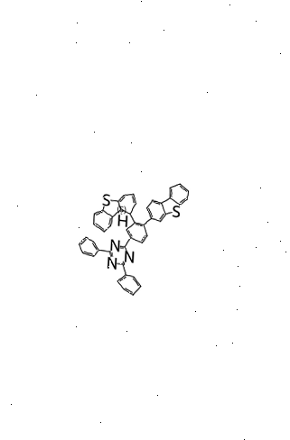 C1=CC(c2cc(-c3nc(-c4ccccc4)nc(-c4ccccc4)n3)ccc2-c2ccc3c(c2)sc2ccccc23)[C@@H]2C(=C1)Sc1ccccc12